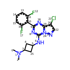 CN(C)C1CC(Nc2nc(-c3c(F)cccc3F)nc3c(Cl)cnn23)C1